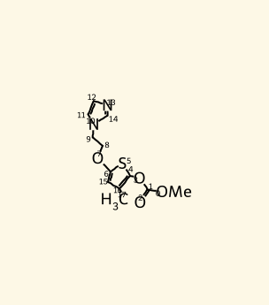 COC(=O)Oc1sc(OCCn2ccnc2)cc1C